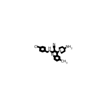 Cc1ccc2nc(NCc3ccc(Cl)cc3)c(C#N)c(N3CCC(N)CC3)c2c1